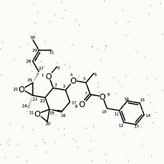 COC1C(OC(C)C(=O)OCc2ccccc2)CC[C@]2(CO2)C1[C@@]1(C)O[C@@H]1CC=C(C)C